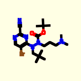 CN(C)CCCN(C(=O)OC(C)(C)C)N(CC(C)(C)C)c1nc(C#N)ncc1Br